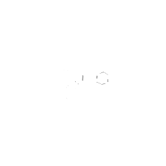 CC(C)(C)CC1C2CC3CC(C2)N(C(=O)Cc2ccccc2)C1C3